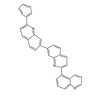 c1ccc(-c2ccc3ccc(-c4ccc5ccc(-c6cccc7ncccc67)nc5c4)cc3n2)cc1